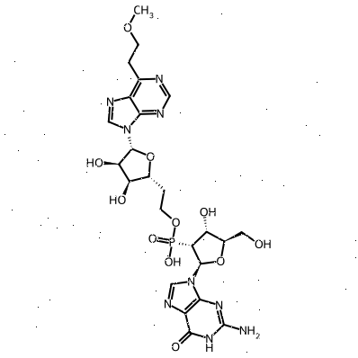 COCCc1ncnc2c1ncn2[C@@H]1O[C@H](CCOP(=O)(O)[C@@H]2[C@H](O)[C@@H](CO)O[C@H]2n2cnc3c(=O)[nH]c(N)nc32)[C@@H](O)[C@H]1O